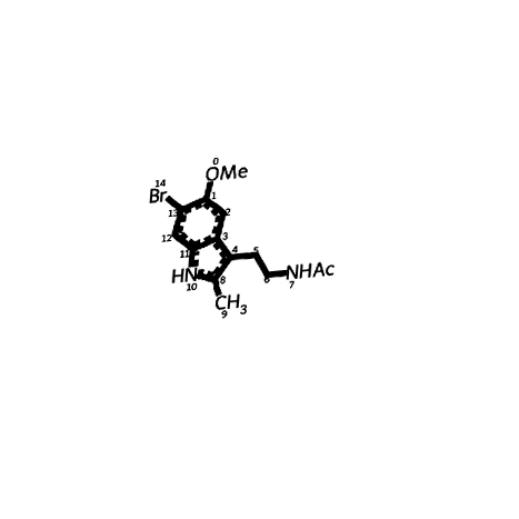 COc1cc2c(CCNC(C)=O)c(C)[nH]c2cc1Br